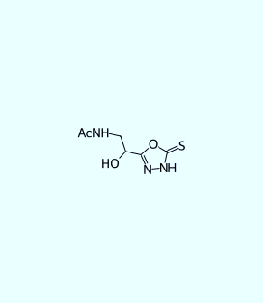 CC(=O)NCC(O)c1n[nH]c(=S)o1